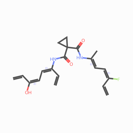 C=C/C(O)=C\C=C(/C=C)NC(=O)C1(C(=O)N/C(C)=C/C=C(/F)C=C)CC1